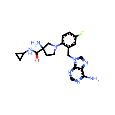 Nc1ncnc2c1ncn2Cc1cc(F)ccc1N1CCC(N)(C(=O)NC2CC2)C1